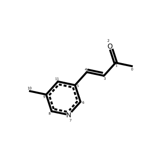 CC(=O)/C=C/c1cncc(C)c1